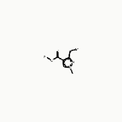 CC(C)OC(=O)c1cn(C)nc1CBr